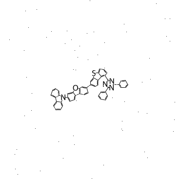 c1ccc(-c2nc(-c3ccccc3)nc(-c3cccc4sc5cc(-c6ccc7c(c6)oc6cc(-n8c9ccccc9c9ccccc98)ccc67)ccc5c34)n2)cc1